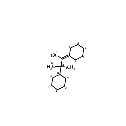 CC(C)(C)C(=C1CCCCC1)C(C)(C)C1CCCCC1